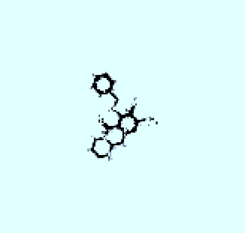 Cc1cn2c(c(OCc3ccccc3)c1=O)C(=O)N1CCCOC1C2